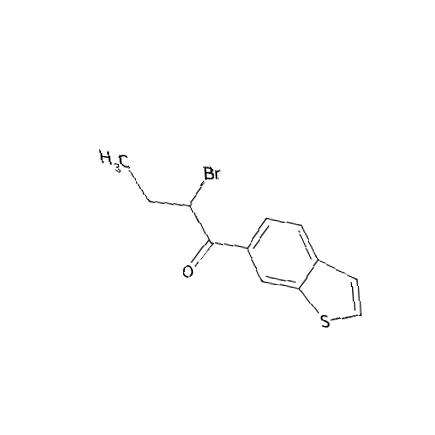 CCC(Br)C(=O)c1ccc2ccsc2c1